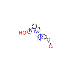 COCCOc1ccn2c(-c3ccc4cccc(N5CC[C@H](O)C5)c4n3)cnc2c1